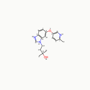 Cc1ccc(Oc2ccc3ncn(CCC(C)(C)O)c3c2)cn1